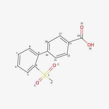 CS(=O)(=O)c1ccccc1-c1ccc(C(=O)O)cc1